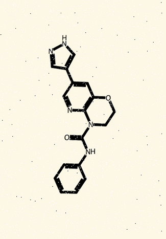 O=C(Nc1ccccc1)N1CCOc2cc(-c3cn[nH]c3)cnc21